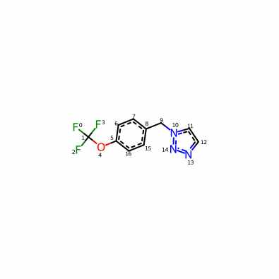 FC(F)(F)Oc1ccc(Cn2ccnn2)cc1